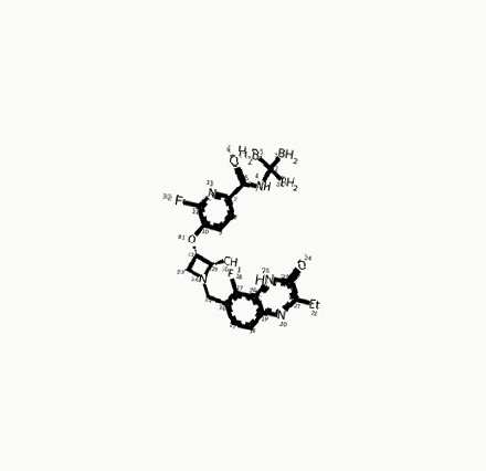 BC(B)(B)NC(=O)c1ccc(O[C@H]2CN(Cc3ccc4nc(CC)c(=O)[nH]c4c3F)[C@@H]2C)c(F)n1